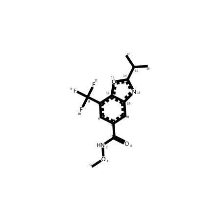 CONC(=O)c1cc(C(F)(F)F)c2oc(C(C)C)nc2c1